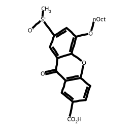 CCCCCCCCOc1cc([S+](C)[O-])cc2c(=O)c3cc(C(=O)O)ccc3oc12